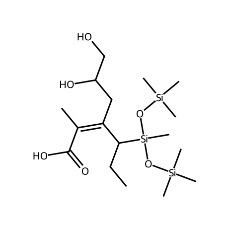 CCC(C(CC(O)CO)=C(C)C(=O)O)[Si](C)(O[Si](C)(C)C)O[Si](C)(C)C